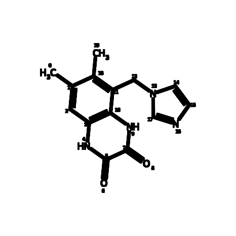 Cc1cc2[nH]c(=O)c(=O)[nH]c2c(Cn2ccnc2)c1C